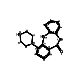 O=C1Nc2ccccc2Nc2c1cccc2N1CCNCC1